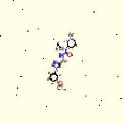 CC(=O)N1CCC[C@@H](N(C(=O)NCc2cn(-c3cccc(OC(F)(F)F)c3)nn2)C2CC2)C1